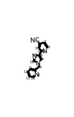 N#Cc1ccnc(-c2cn(Cc3ccccn3)cn2)c1